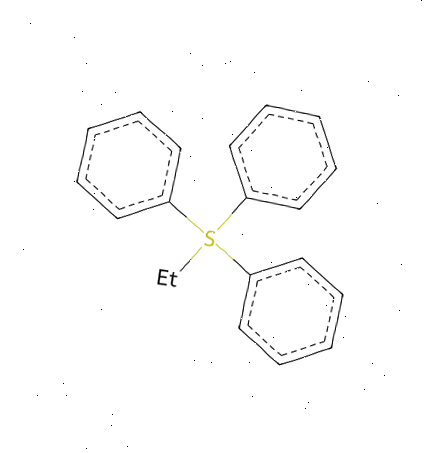 CCS(c1ccccc1)(c1ccccc1)c1ccccc1